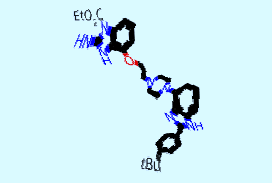 CCOC(=O)n1c(=N)[nH]c2c(OCCN3CCN(c4cccc5[nH]c(-c6ccc(C(C)(C)C)cc6)nc45)CC3)cccc21